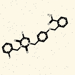 NC(=O)c1ccccc1COc1ccc(Cn2cc(F)c(=O)n(Cc3ccccc3F)c2=O)cc1